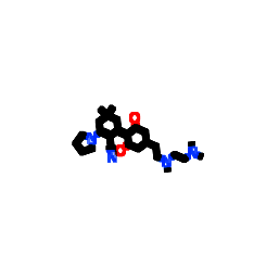 CN(C)CCN(C)CCC1CC(=O)C(=C2CC(C)(C)CC(N3CCCC3)=C2C#N)C(=O)C1